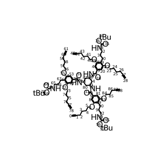 C#CCCCCOc1cc(C(=O)N[C@H]2C[C@@H](NC(=O)c3cc(OCCCCC#C)c(CCCNC(=O)OC(C)(C)C)c(OCCCCC#C)c3)C[C@@H](NC(=O)c3cc(OCCCCC#C)c(CCCNC(=O)OC(C)(C)C)c(OCCCCC#C)c3)C2)cc(OCCCC#C)c1CCCNC(=O)OC(C)(C)C